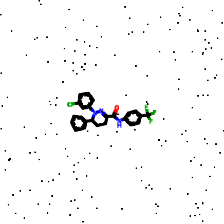 O=C(Nc1ccc(C(F)(F)F)cc1)C1=NN(c2cccc(Cl)c2)C(c2ccccc2)CC1